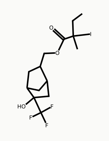 CCC(C)(I)C(=O)OCC1CC2CC1CC2(O)C(F)(F)F